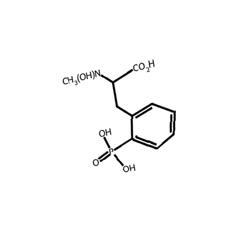 CN(O)C(Cc1ccccc1P(=O)(O)O)C(=O)O